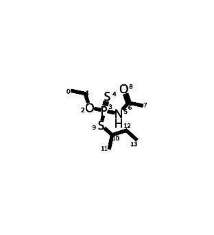 CCOP(=S)(NC(C)=O)SC(C)CC